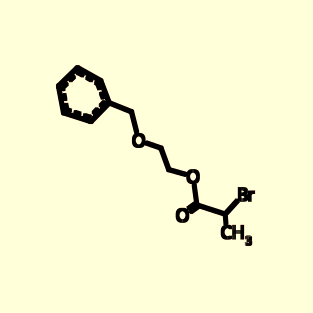 CC(Br)C(=O)OCCOCc1ccccc1